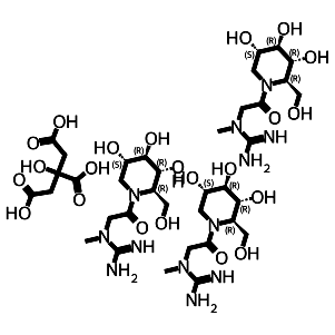 CN(CC(=O)N1C[C@H](O)[C@@H](O)[C@H](O)[C@H]1CO)C(=N)N.CN(CC(=O)N1C[C@H](O)[C@@H](O)[C@H](O)[C@H]1CO)C(=N)N.CN(CC(=O)N1C[C@H](O)[C@@H](O)[C@H](O)[C@H]1CO)C(=N)N.O=C(O)CC(O)(CC(=O)O)C(=O)O